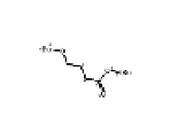 CC(C)(C)OCCCC(=O)OC(C)(C)C